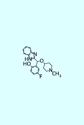 CN1CCC(OC(c2nc3ccccc3[nH]2)c2cc(F)ccc2O)CC1